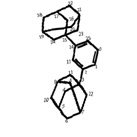 c1cc(C23CC4CC(CC(C4)C2)C3)cc(C23CC4CC(CC(C4)C2)C3)c1